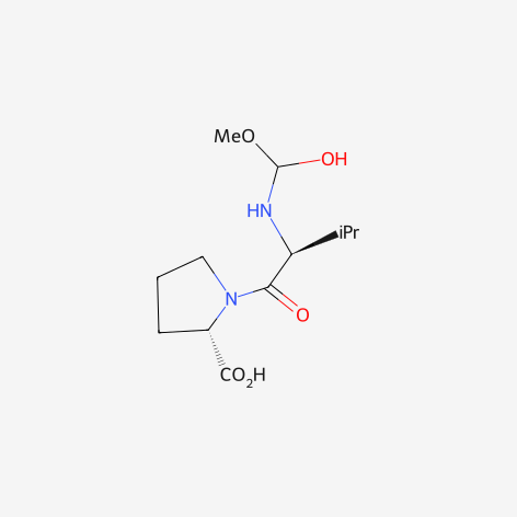 COC(O)N[C@H](C(=O)N1CCC[C@H]1C(=O)O)C(C)C